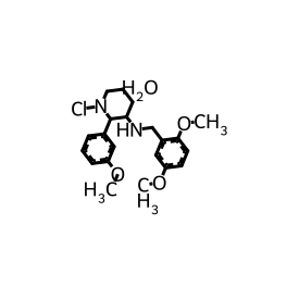 COc1cccc(C2C(NCc3cc(OC)ccc3OC)CCCN2Cl)c1.O